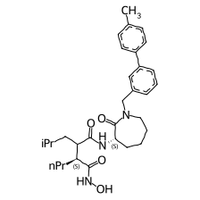 CCC[C@H](C(=O)NO)C(CC(C)C)C(=O)N[C@H]1CCCCN(Cc2cccc(-c3ccc(C)cc3)c2)C1=O